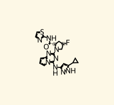 O=C(Nc1nccs1)[C@@H]1C[C@@H](F)CN1c1nc(Nc2cc(C3CC3)[nH]n2)n2cccc2n1